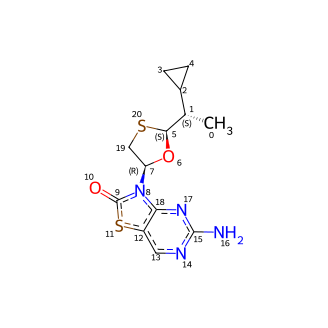 C[C@@H](C1CC1)[C@H]1O[C@@H](n2c(=O)sc3cnc(N)nc32)CS1